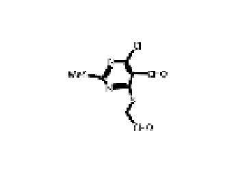 CSc1nc(Cl)c(C=O)c(SCC=O)n1